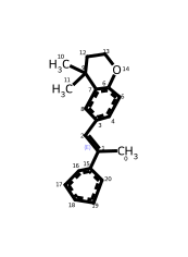 C/C(=C\c1ccc2c(c1)C(C)(C)CCO2)c1ccccc1